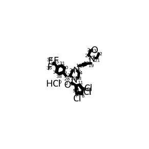 Cl.Cl.O=C(c1cc(Cl)cc(Cl)c1)N1CCN(CC#CCN2CCOCC2)C[C@H]1Cc1ccc(C(F)(F)F)cc1